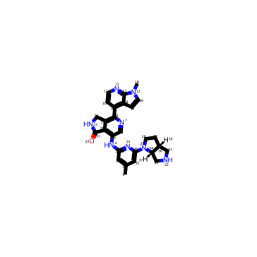 Cc1cc(Nc2cnc(-c3ccnc4c3ccn4C)c3c2C(=O)NC3)nc(N2CC[C@@H]3CNC[C@@H]32)c1